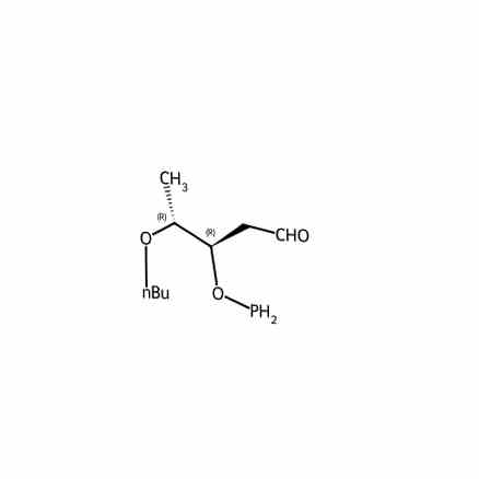 CCCCO[C@H](C)[C@@H](CC=O)OP